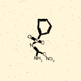 NC(=NS(=O)(=O)c1ccccc1)O[N+](=O)[O-]